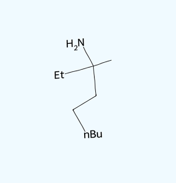 CCCCCCC(C)(N)CC